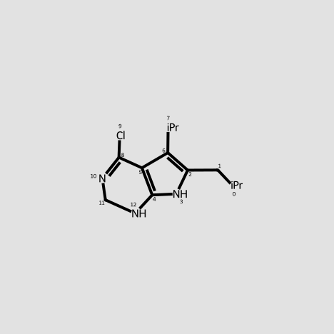 CC(C)Cc1[nH]c2c(c1C(C)C)C(Cl)=NCN2